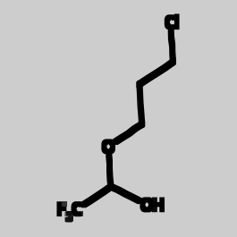 OC(OCCCCl)C(F)(F)F